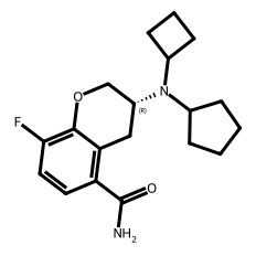 NC(=O)c1ccc(F)c2c1C[C@@H](N(C1CCCC1)C1CCC1)CO2